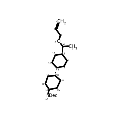 C=CCOC(C)[C@H]1CC[C@H](C2CCC(CCCCCCCCCC)CC2)CC1